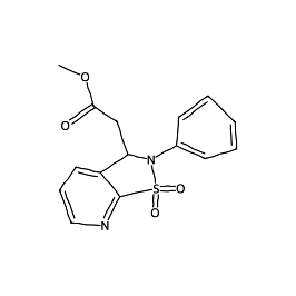 COC(=O)CC1c2cccnc2S(=O)(=O)N1c1ccccc1